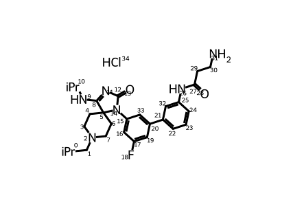 CC(C)CN1CCC2(CC1)C(NC(C)C)=NC(=O)N2c1cc(F)cc(-c2cccc(NC(=O)CCN)c2)c1.Cl